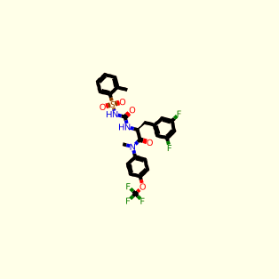 Cc1ccccc1S(=O)(=O)NC(=O)N[C@@H](Cc1cc(F)cc(F)c1)C(=O)N(C)c1ccc(OC(F)(F)F)cc1